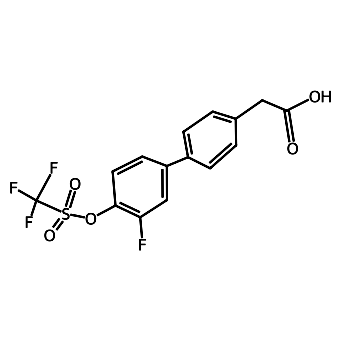 O=C(O)Cc1ccc(-c2ccc(OS(=O)(=O)C(F)(F)F)c(F)c2)cc1